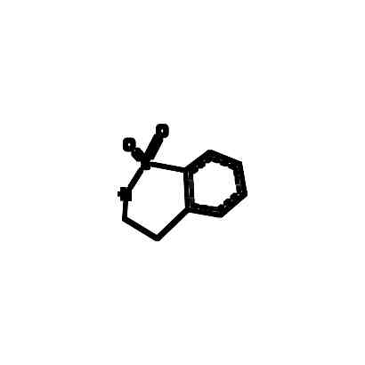 O=S1(=O)[N]CCc2ccccc21